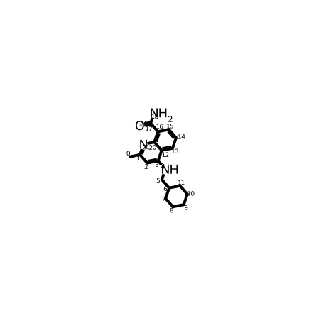 Cc1cc(NCC2CCCCC2)c2cccc(C(N)=O)c2n1